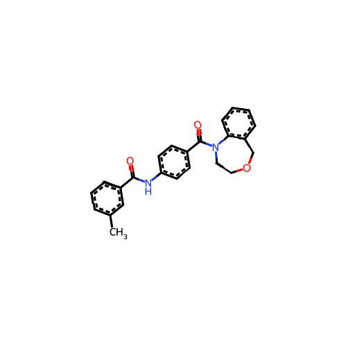 Cc1cccc(C(=O)Nc2ccc(C(=O)N3CCOCc4ccccc43)cc2)c1